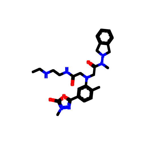 CCNCCNC(=O)CN(CC(=O)N(C)N1Cc2ccccc2C1)c1cc(-c2nn(C)c(=O)o2)ccc1C